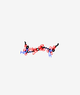 CCCCOc1cccc(-n2c(O)c(/C=C/C=C/C=C3C(=O)OC4(CCC5(CC4)OC(=O)C(=C/C=C/C=C/c4c(O)n(-c6cccc(OCCCC)c6)c(=O)[nH]c4=O)C(=O)O5)OC3=O)c(=O)[nH]c2=O)c1